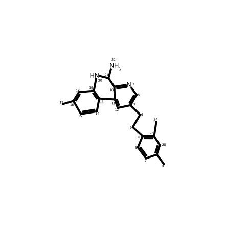 Cc1ccc(CCc2cnc3c(c2)-c2ccc(C)cc2NC3N)c(C)c1